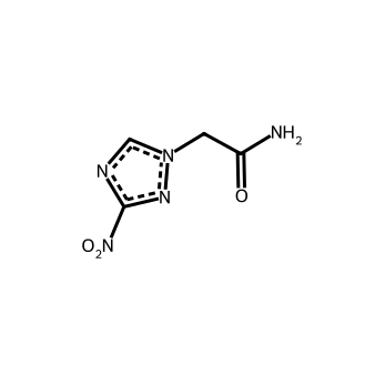 NC(=O)Cn1cnc([N+](=O)[O-])n1